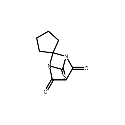 O=C1CC(=O)N2C(=S)N1C21CCCC1